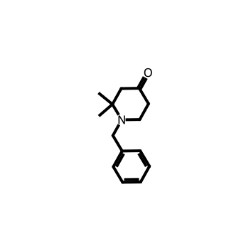 CC1(C)CC(=O)CCN1Cc1ccccc1